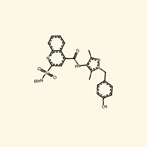 CNS(=O)(=O)c1cc(C(=O)Nc2c(C)nn(Cc3ccc(C#N)cc3)c2C)c2ccccc2n1